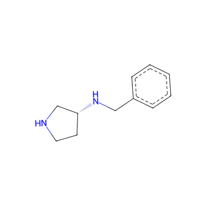 c1ccc(CN[C@@H]2CCNC2)cc1